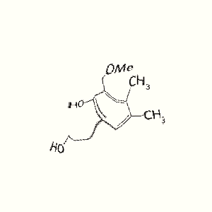 COCc1c(C)c(C)cc(CCO)c1O